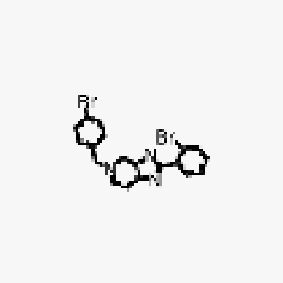 Brc1ccc(Cn2ccc3nc(-c4ccccc4Br)nc-3c2)cc1